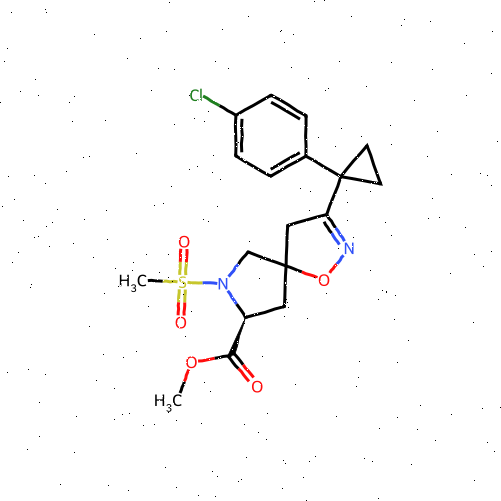 COC(=O)[C@@H]1CC2(CC(C3(c4ccc(Cl)cc4)CC3)=NO2)CN1S(C)(=O)=O